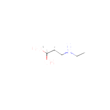 CCNCCC(O)O